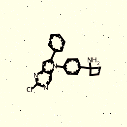 NC1(c2ccc(-n3c(-c4ccccc4)cc4nc(Cl)ncc43)cc2)CCC1